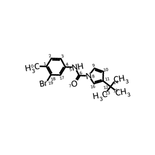 Cc1ccc(NC(=O)n2ccc(C(C)(C)C)c2)cc1Br